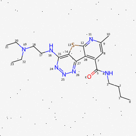 CCCCNC(=O)c1cc(C)nc2sc3c(NCCN(CC)CC)nnnc3c12